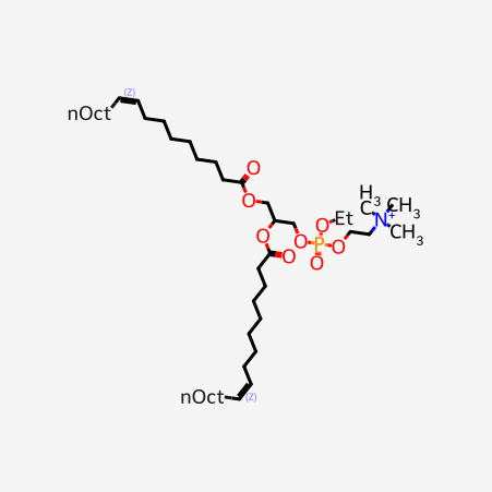 CCCCCCCC/C=C\CCCCCCCC(=O)OCC(COP(=O)(OCC)OCC[N+](C)(C)C)OC(=O)CCCCCCC/C=C\CCCCCCCC